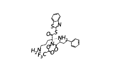 C[C@](CCCN)(C(=O)Sc1nc2ccccc2s1)N(OC(=O)C(F)(F)F)C(=O)[C@@H](N)CCc1ccccc1